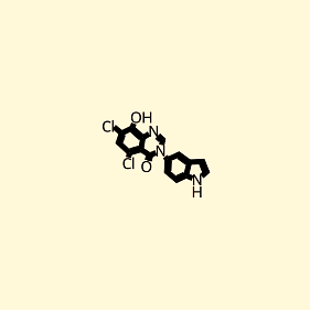 O=c1c2c(Cl)cc(Cl)c(O)c2ncn1-c1ccc2[nH]ccc2c1